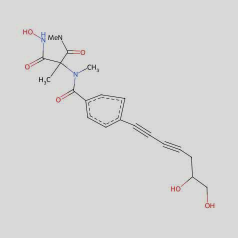 CNC(=O)C(C)(C(=O)NO)N(C)C(=O)c1ccc(C#CC#CCC(O)CO)cc1